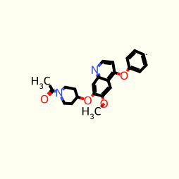 COc1cc2c(Oc3cc[c]cc3)ccnc2cc1OC1CCN(C(C)=O)CC1